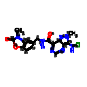 Cn1nc2c(C(=O)NCc3ccc4oc(=O)n(C)c4c3)ncnc2c1NCl